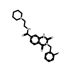 O=C(NCCN1CCCCC1)c1ccc2c(=O)n(Cc3ccccc3F)c(=O)[nH]c2c1